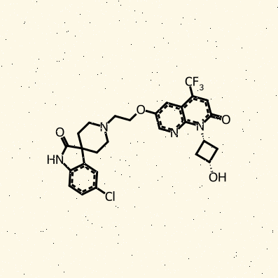 O=C1Nc2ccc(Cl)cc2C12CCN(CCOc1cnc3c(c1)c(C(F)(F)F)cc(=O)n3[C@H]1C[C@@H](O)C1)CC2